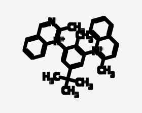 Cc1c(-[n+]2c(C)ccc3ccccc32)cc(C(C)(C)C)cc1-[n+]1c(C)ncc2ccccc21